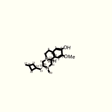 COc1cc2c(cc1O)CCN1C[C@@H](CC3CC(C)C3)N(C)C[C@@H]21